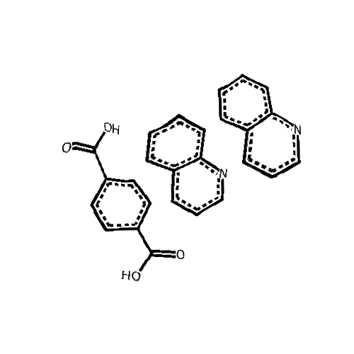 O=C(O)c1ccc(C(=O)O)cc1.c1ccc2ncccc2c1.c1ccc2ncccc2c1